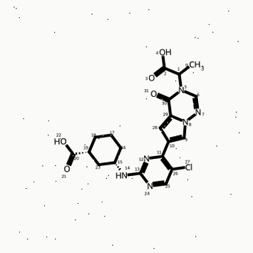 CC(C(=O)O)n1cnn2cc(-c3nc(N[C@H]4CCC[C@@H](C(=O)O)C4)ncc3Cl)cc2c1=O